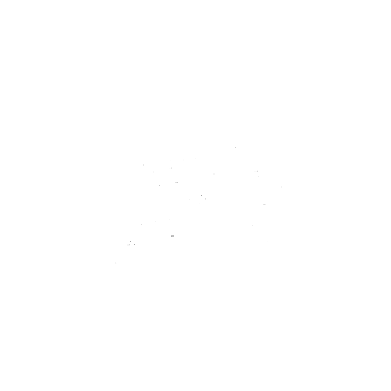 COc1ncc(-c2cc(NC(=O)c3cc(F)cc(C(F)(F)F)c3)c3c(c2)C(=O)NC3c2cc(F)ccc2Cl)cc1F